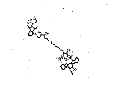 CO[C@@H]1[C@H](N(C)C(=O)CCCCCCCCCCC(O)N2CCN(c3cccc4c3C(=O)N(C3CCC(=O)NC3=O)C4=O)CC2)C[C@H]2O[C@]1(C)n1c3ccccc3c3c4c(c5c6ccccc6n2c5c31)C(=O)NC4